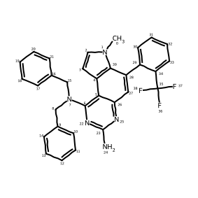 Cn1ccc2c3c(N(Cc4ccccc4)Cc4ccccc4)nc(N)nc3cc(-c3ccccc3C(F)(F)F)c21